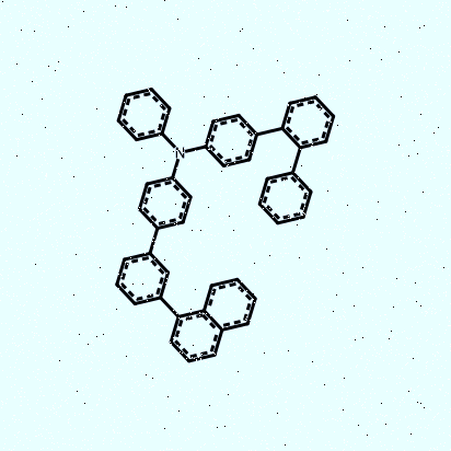 c1ccc(-c2ccccc2-c2ccc(N(c3ccccc3)c3ccc(-c4cccc(-c5cccc6ccccc56)c4)cc3)cc2)cc1